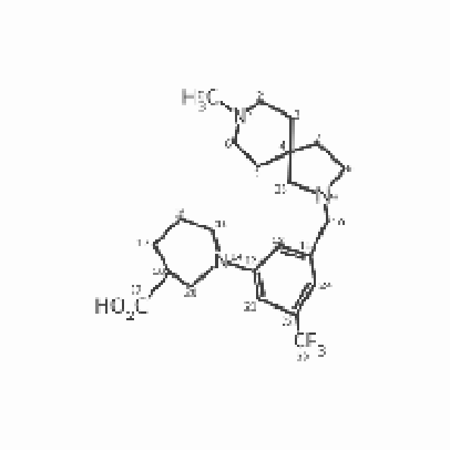 CN1CCC2(CC1)CCN(Cc1cc(N3CCCC(C(=O)O)C3)cc(C(F)(F)F)c1)C2